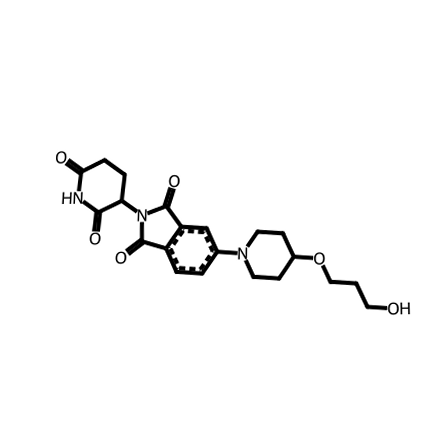 O=C1CCC(N2C(=O)c3ccc(N4CCC(OCCCO)CC4)cc3C2=O)C(=O)N1